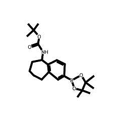 CC(C)(C)OC(=O)NC1CCCCc2cc(B3OC(C)(C)C(C)(C)O3)ccc21